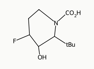 CC(C)(C)C1C(O)C(F)CCN1C(=O)O